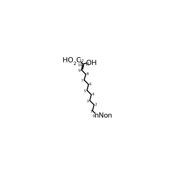 CCCCCCCCCCCCCCCCCC=C(O)C(=O)O